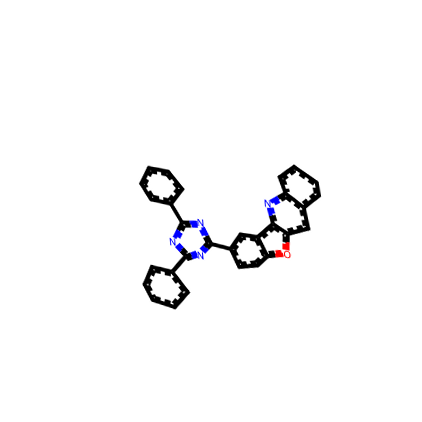 c1ccc(-c2nc(-c3ccccc3)nc(-c3ccc4oc5cc6ccccc6nc5c4c3)n2)cc1